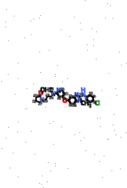 Cn1c(Nc2ccc(Cl)cc2)nc2cc(Oc3ccnc(N(C=O)CCCN4CCCC4=O)c3)ccc21